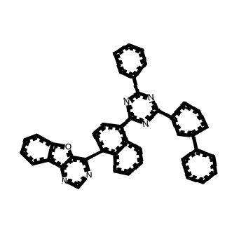 c1ccc(-c2cccc(-c3nc(-c4ccccc4)nc(-c4ccc(-c5ncnc6c5oc5ccccc56)c5ccccc45)n3)c2)cc1